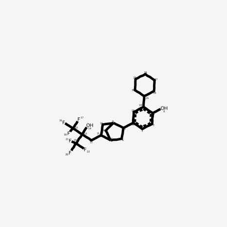 Oc1ccc(C2CC3CC2CC3CC(O)(C(F)(F)F)C(F)(F)F)cc1C1CCCCC1